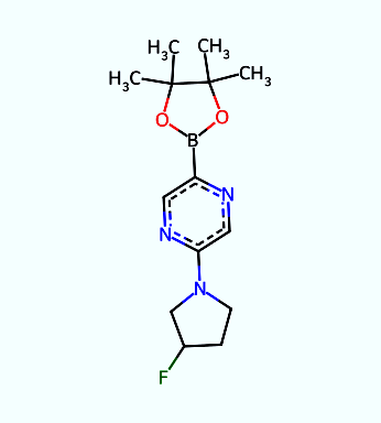 CC1(C)OB(c2cnc(N3CCC(F)C3)cn2)OC1(C)C